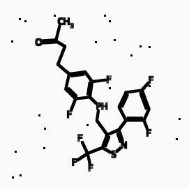 CC(=O)CCc1cc(F)c(PCc2c(-c3ccc(F)cc3F)nsc2C(F)(F)F)c(F)c1